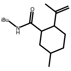 C=C(C)C1CCC(C)CC1C(=O)NC(C)CC